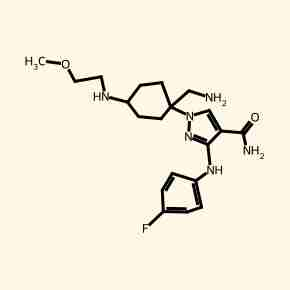 COCCNC1CCC(CN)(n2cc(C(N)=O)c(Nc3ccc(F)cc3)n2)CC1